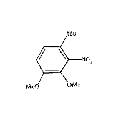 COc1ccc(C(C)(C)C)c([N+](=O)[O-])c1OC